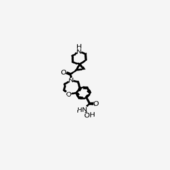 O=C(NO)c1ccc2c(c1)OCCN(C(=O)C1CC13CCNCC3)C2